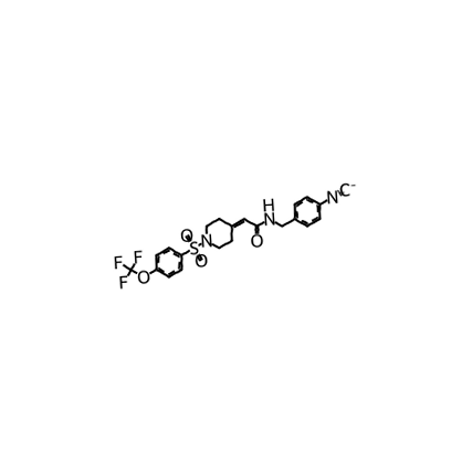 [C-]#[N+]c1ccc(CNC(=O)C=C2CCN(S(=O)(=O)c3ccc(OC(F)(F)F)cc3)CC2)cc1